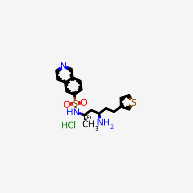 C[C@H](CC(N)CCc1ccsc1)NS(=O)(=O)c1ccc2cnccc2c1.Cl